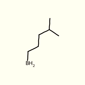 BCCCC(C)C